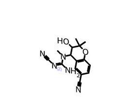 CN(/C(N)=N\C#N)C1c2cc(C#N)ccc2OC(C)(C)C1O